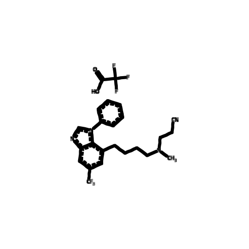 CN(CCC#N)CCCCc1cc(C(F)(F)F)cc2ncn(-c3ccccc3)c12.O=C(O)C(F)(F)F